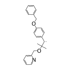 CC(C)([CH]c1ccc(OCc2ccccc2)cc1)OCc1ccccn1